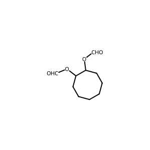 O=COC1CCCCCCC1OC=O